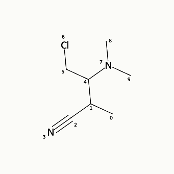 CC(C#N)C(CCl)N(C)C